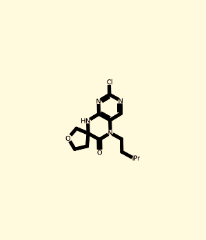 CC(C)CCN1C(=O)C2(CCOC2)Nc2nc(Cl)ncc21